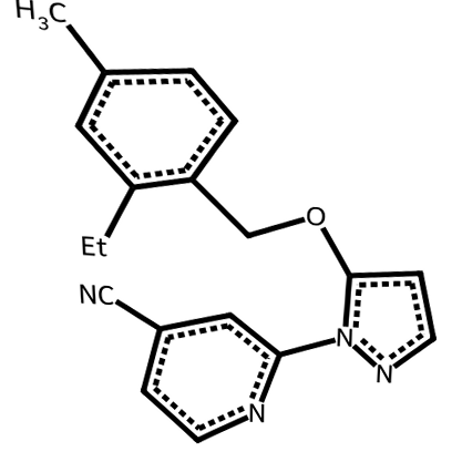 CCc1cc(C)ccc1COc1ccnn1-c1cc(C#N)ccn1